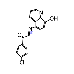 O=C(/C=N/c1ccc(O)c2ncccc12)c1ccc(Cl)cc1